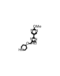 COc1ncc(-c2noc(COC3CCNCC3)n2)cn1.Cl